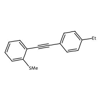 CCc1ccc(C#Cc2ccccc2SC)cc1